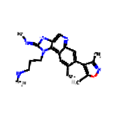 COc1cc2c(cc1-c1c(C)noc1C)ncc1[nH]c(=NC#N)n(CCCNC(=O)O)c12